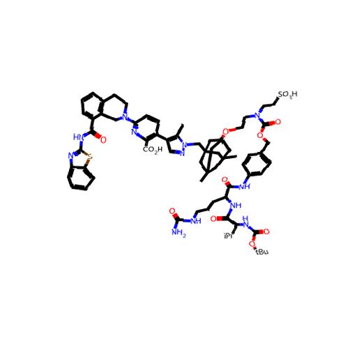 Cc1c(-c2ccc(N3CCc4cccc(C(=O)Nc5nc6ccccc6s5)c4C3)nc2C(=O)O)cnn1CC12CC3(C)CC(C)(C1)CC(OCCN(CCS(=O)(=O)O)C(=O)OCc1ccc(NC(=O)C(CCCNC(N)=O)NC(=O)C(NC(=O)OC(C)(C)C)C(C)C)cc1)(C3)C2